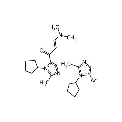 CC(=O)c1cnc(C)n1C1CCCC1.Cc1ncc(C(=O)/C=C/N(C)C)n1C1CCCC1